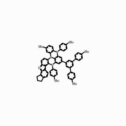 CC(C)(C)c1ccc(-c2cc(-c3ccc(C(C)(C)C)cc3)cc(-c3cc4c5c(c3)N(c3ccc(C(C)(C)C)cc3)c3c(ccc6oc7c8c(ccc7c36)CCC8)B5c3cc(C(C)(C)C)ccc3N4c3ccc(C(C)(C)C)cc3)c2)cc1